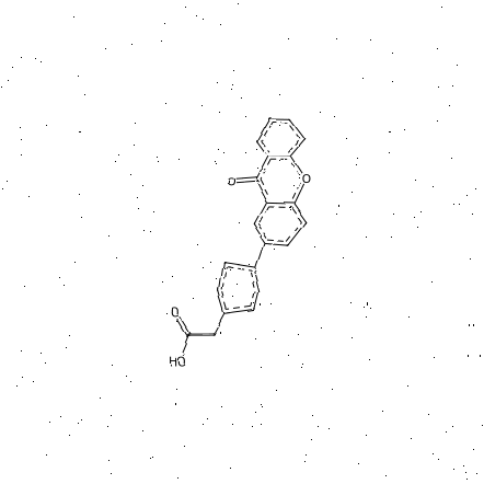 O=C(O)Cc1ccc(-c2ccc3oc4ccccc4c(=O)c3c2)cc1